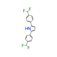 FC(F)c1ccc(-c2ccc(-c3ccc(C(F)F)cc3)[nH]2)cc1